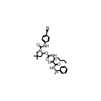 CCCC[C@H](NC(=O)OC1CC(C)(C)CN1C(=O)Nc1ccc(C#N)cc1)C(=O)C(=O)N[C@H](C)c1ccccc1